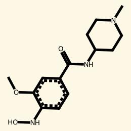 COc1cc(C(=O)NC2CCN(C)CC2)ccc1NO